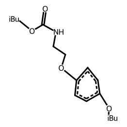 CCC(C)OC(=O)NCCOc1ccc(OC(C)CC)cc1